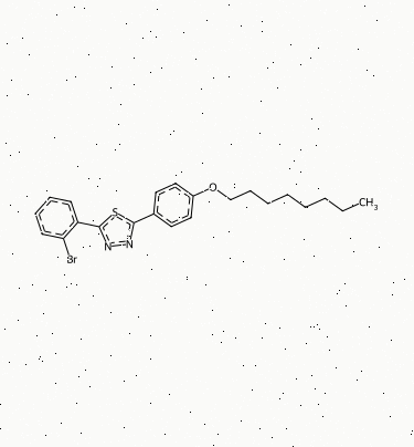 CCCCCCCCOc1ccc(-c2nnc(-c3ccccc3Br)s2)cc1